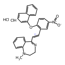 CN1CCN=C(/C=C/c2cc([N+](=O)[O-])ccc2Oc2cccc3ccccc23)c2ccccc21.Cl.Cl